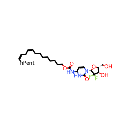 CCCCC/C=C\C/C=C\CCCCCCCCOC(=O)NC1C=CN([C@@H]2O[C@H](CO)[C@@H](O)C2(F)F)C(=O)N1